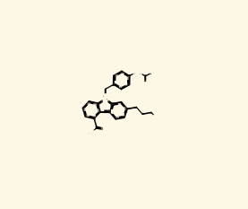 CCCCc1c[c]c2c3c(C(N)=O)cccc3n(Cc3ccc(OC(F)F)cc3)c2c1